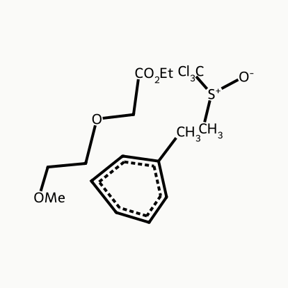 CCOC(=O)COCCOC.C[S+]([O-])C(Cl)(Cl)Cl.Cc1ccccc1